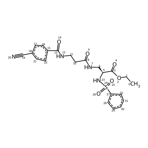 CCOC(=O)[C@H](CNC(=O)CCNC(=O)c1ccc(C#N)cc1)NS(=O)(=O)c1ccccc1